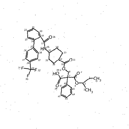 CCC(C)OC(=O)C(COC(=O)C1CCC(NC(=O)c2ccccc2-c2ccc(C(F)(F)F)cc2)CC1)(C(=O)O)c1ccccc1